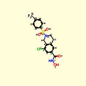 O=C(NO)c1cc(Cl)c2c(c1)CCN(S(=O)(=O)c1ccc(C(F)(F)F)cc1)C2